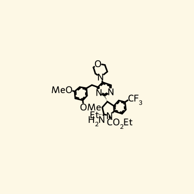 CCOC(=O)N1c2ccc(C(F)(F)F)cc2[C@@H](c2ncc(N3CCOCC3)c(Cc3cc(OC)cc(OC)c3)n2)C[C@@]1(N)CC